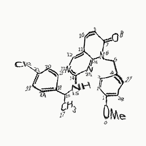 COc1ccc(Cn2c(=O)ccc3cnc(NC(C)c4ccc(Cl)cc4)nc32)cc1